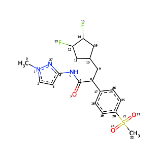 Cn1ccc(NC(=O)C(CC2CC(F)C(F)C2)c2ccc(S(C)(=O)=O)cc2)n1